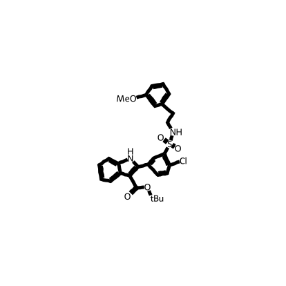 COc1cccc(CCNS(=O)(=O)c2cc(-c3[nH]c4ccccc4c3C(=O)OC(C)(C)C)ccc2Cl)c1